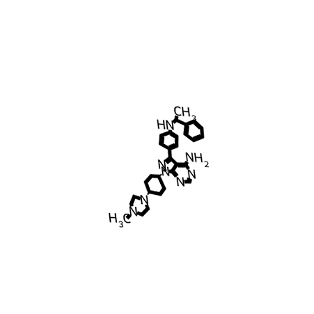 CC(Nc1ccc(-c2nn([C@H]3CC[C@@H](N4CCN(C)CC4)CC3)c3ncnc(N)c23)cc1)c1ccccc1